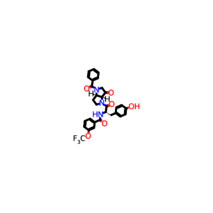 O=C(N[C@@H](Cc1ccc(O)cc1)C(=O)N1CC[C@@H]2[C@H]1C(=O)CN2C(=O)c1ccccc1)c1cccc(OC(F)(F)F)c1